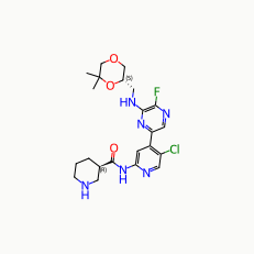 CC1(C)COC[C@H](CNc2nc(-c3cc(NC(=O)[C@@H]4CCCNC4)ncc3Cl)cnc2F)O1